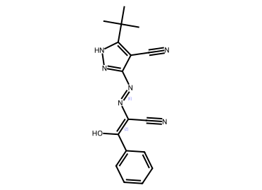 CC(C)(C)c1[nH]nc(/N=N/C(C#N)=C(\O)c2ccccc2)c1C#N